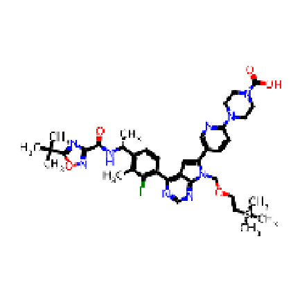 Cc1c([C@@H](C)NC(=O)c2noc(C(C)(C)C)n2)ccc(-c2ncnc3c2cc(-c2ccc(N4CCN(C(=O)O)CC4)nc2)n3COCC[Si](C)(C)C)c1F